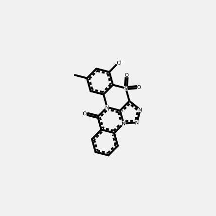 Cc1cc(Cl)c2c(c1)-n1c(=O)c3ccccc3n3nnc(c13)S2(=O)=O